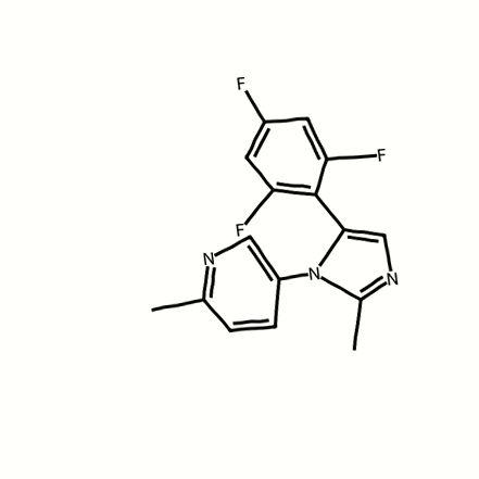 Cc1ccc(-n2c(-c3c(F)cc(F)cc3F)cnc2C)cn1